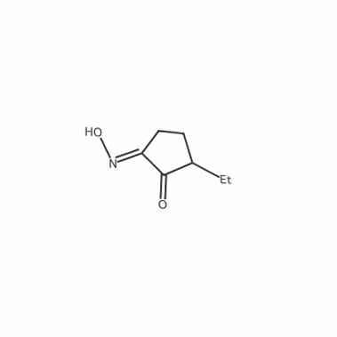 CCC1CCC(=NO)C1=O